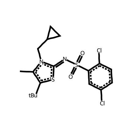 Cc1c(C(C)(C)C)s/c(=N\S(=O)(=O)c2cc(Cl)ccc2Cl)n1CC1CC1